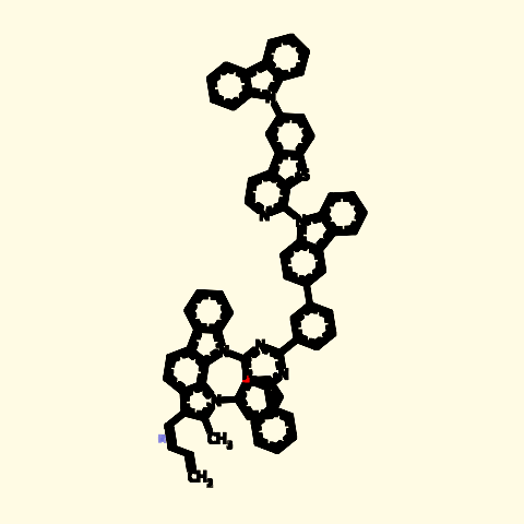 C=C/C=C\c1c(C)n(-c2ccccc2)c2c1ccc1c3ccccc3n(-c3nc(-c4ccccc4)nc(-c4cccc(-c5ccc6c(c5)c5ccccc5n6-c5nccc6c5sc5ccc(-n7c8ccccc8c8ccccc87)cc56)c4)n3)c12